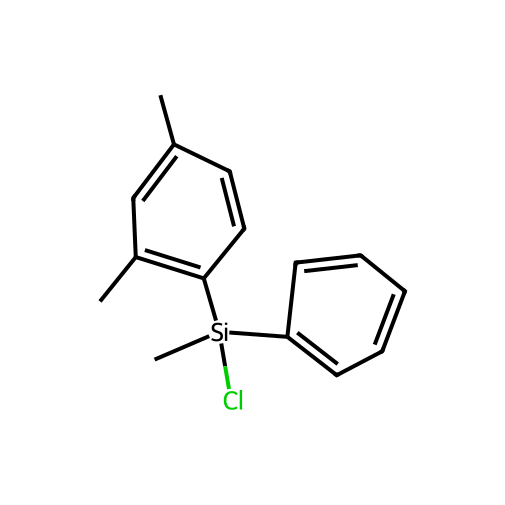 Cc1ccc([Si](C)(Cl)c2ccccc2)c(C)c1